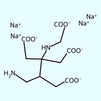 NCC(CC(=O)[O-])C(CC(=O)[O-])(CC(=O)[O-])NCC(=O)[O-].[Na+].[Na+].[Na+].[Na+]